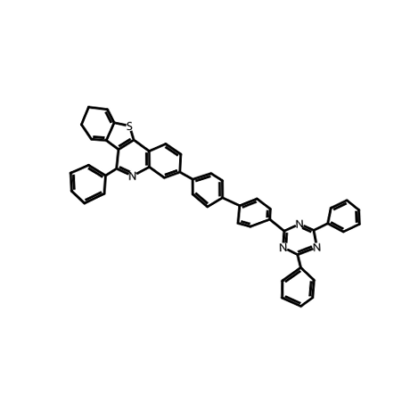 C1=c2sc3c(c(-c4ccccc4)nc4cc(-c5ccc(-c6ccc(-c7nc(-c8ccccc8)nc(-c8ccccc8)n7)cc6)cc5)ccc43)c2=CCC1